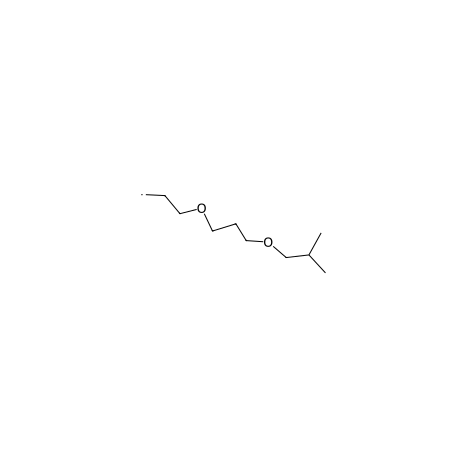 [CH2]CCOCCCOCC(C)C